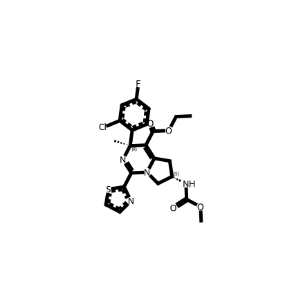 CCOC(=O)C1=C2C[C@H](NC(=O)OC)CN2C(c2nccs2)=N[C@@]1(C)c1ccc(F)cc1Cl